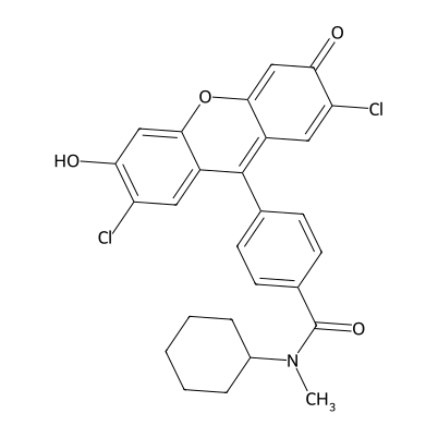 CN(C(=O)c1ccc(-c2c3cc(Cl)c(=O)cc-3oc3cc(O)c(Cl)cc23)cc1)C1CCCCC1